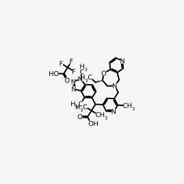 CC[C@@H]1CN(Cc2cc(C(c3ccc4c(nnn4C)c3C)C(C)(C)C(=O)O)cnc2C)Cc2cnccc2O1.O=C(O)C(F)(F)F